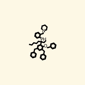 CCCCCC(CC)(Pc1ccccc1CN1CCCCC1)c1cc(Cc2ccccc2)cc(Cc2ccccc2)c1OCc1ccccc1